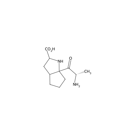 C[C@H](N)C(=O)C12CCCC1CC(C(=O)O)N2